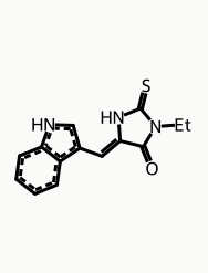 CCN1C(=O)/C(=C/c2c[nH]c3ccccc23)NC1=S